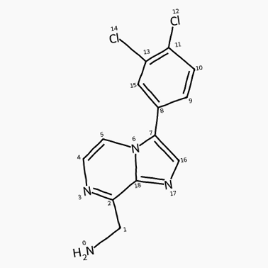 NCc1nccn2c(-c3ccc(Cl)c(Cl)c3)cnc12